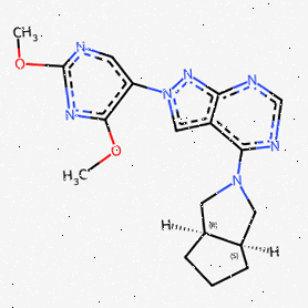 COc1ncc(-n2cc3c(N4C[C@H]5CCC[C@H]5C4)ncnc3n2)c(OC)n1